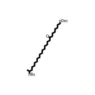 CCCCCCCCCCCCCCCCCC(=O)CCCCCCCCCCCCCCCC(C)CCCC